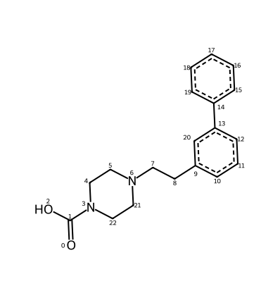 O=C(O)N1CCN(CCc2cccc(-c3ccccc3)c2)CC1